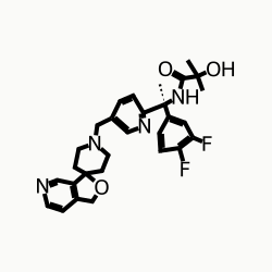 CC(C)(O)C(=O)N[C@@](C)(c1ccc(F)c(F)c1)c1ccc(CN2CCC3(CC2)OCc2ccncc23)cn1